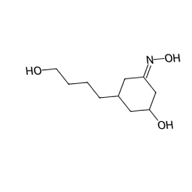 OCCCCC1CC(=NO)CC(O)C1